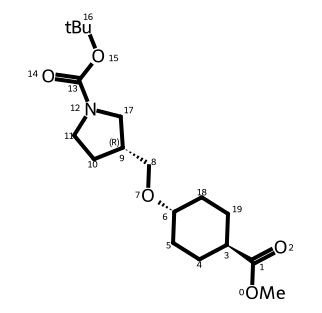 COC(=O)[C@H]1CC[C@H](OC[C@@H]2CCN(C(=O)OC(C)(C)C)C2)CC1